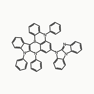 c1ccc(N2c3ccccc3B3c4c2cc(-n2c5ccccc5n5c6ccccc6nc25)cc4N(c2ccccc2)c2c3c3ccccc3n2-c2ccccc2)cc1